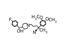 COc1ccc(C(C)(C#N)CCCN2CCC(C(O)c3ccc(F)cc3)CC2)cc1OC